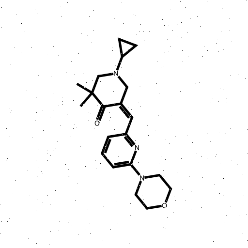 CC1(C)CN(C2CC2)CC(=Cc2cccc(N3CCOCC3)n2)C1=O